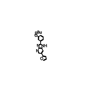 CCCCOc1cccc(-c2nc3ncc(-c4ccco4)cc3[nH]2)c1